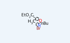 CCCC[C@H](Oc1ccc(CCC(=O)OCC)c(C)c1)c1cccc(Br)n1